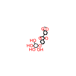 O=c1c(-c2ccc3c(c2)OCCO3)coc2cc(OC3CC(CO)C(O)C(O)C3O)ccc12